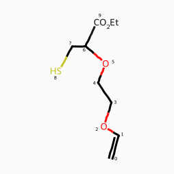 C=COCCOC(CS)C(=O)OCC